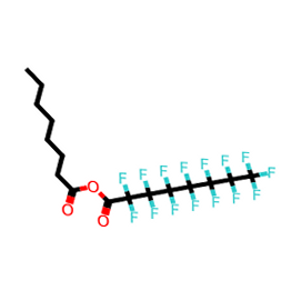 CCCCCCCC(=O)OC(=O)C(F)(F)C(F)(F)C(F)(F)C(F)(F)C(F)(F)C(F)(F)C(F)(F)F